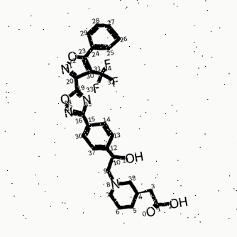 O=C(O)C[C@H]1CCCN(CC(O)c2ccc(-c3noc(-c4noc(-c5ccccc5)c4C(F)(F)F)n3)cc2)C1